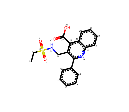 CCS(=O)(=O)NCc1c(-c2ccccc2)nc2ccccc2c1C(=O)O